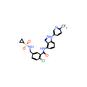 O=C(Nc1cccc2c1cnn2-c1ccc(C(F)(F)F)nc1)c1cc(CNS(=O)(=O)C2CC2)ccc1Cl